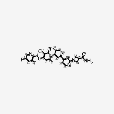 Cc1cc(OCc2ncc(F)cc2F)c(Cl)c(=O)n1C1=CC(c2ccnc(N3CC(C(N)=O)C3)n2)=NC[C@@H]1C